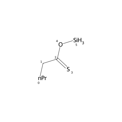 CCCCC(=S)O[SiH3]